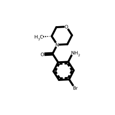 C[C@@H]1COCCN1C(=O)c1ccc(Br)cc1N